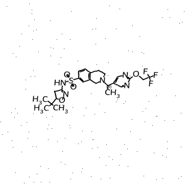 C[C@H](c1cnc(OCC(F)(F)F)nc1)N1CCc2ccc(S(=O)(=O)NC3=NOC(C(C)(C)C)C3)cc2C1